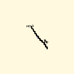 CCCCC=C(CC=CC/C=C/CCCCCCCC(=O)O)[N+](=O)[O-]